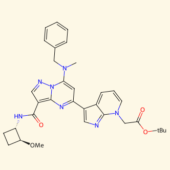 CO[C@H]1CC[C@@H]1NC(=O)c1cnn2c(N(C)Cc3ccccc3)cc(-c3cnc4n(CC(=O)OC(C)(C)C)cccc3-4)nc12